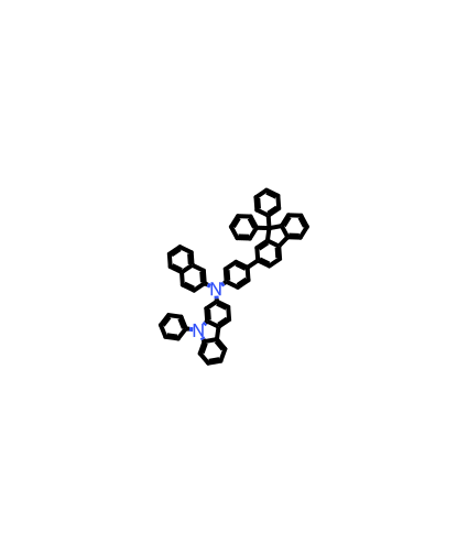 c1ccc(-n2c3ccccc3c3ccc(N(c4ccc(-c5ccc6c(c5)C(c5ccccc5)(c5ccccc5)c5ccccc5-6)cc4)c4ccc5ccccc5c4)cc32)cc1